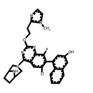 Cn1ccnc1CCOc1nc(N2CC3CCC(C2)N3)c2cc(Cl)c(-c3cc(O)cc4ccccc34)c(F)c2n1